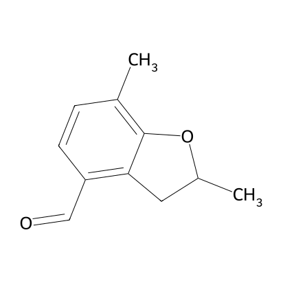 Cc1ccc(C=O)c2c1OC(C)C2